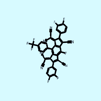 N#CC(C#N)=C1C(c2ccc(F)c(F)c2)=C(C#N)c2c(F)c3c(c(-c4ccc(C(F)(F)F)cc4)c21)C(=C(C#N)C#N)C(c1ccc(F)c(F)c1)=C3C#N